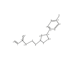 C=CC(=O)SCCC1CSC(c2ccc(C)cc2)S1